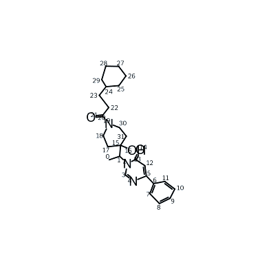 CC(n1cnc(-c2ccccc2)cc1=O)C1(O)CCN(C(=O)CCC2CCCCC2)CC1